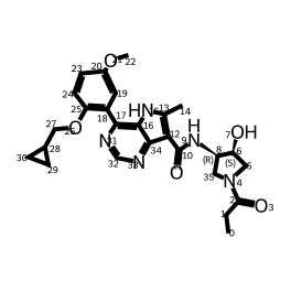 CCC(=O)N1C[C@H](O)[C@H](NC(=O)c2c(C)[nH]c3c(-c4cc(OC)ccc4OCC4CC4)ncnc23)C1